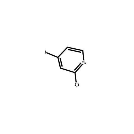 Clc1cc(I)[c]cn1